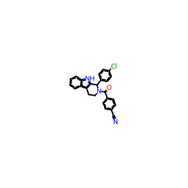 N#Cc1ccc(C(=O)N2CCc3c([nH]c4ccccc34)C2c2ccc(Cl)cc2)cc1